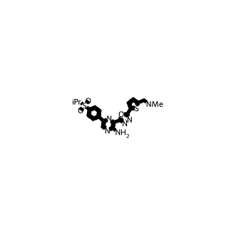 CNCc1ccc(-c2nnc(-c3nc(-c4ccc(S(=O)(=O)C(C)C)cc4)cnc3N)o2)s1